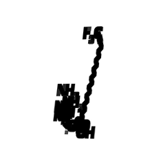 C[C@H](Cn1cnc2c(N)ncnc21)OCP(=O)(O)OCCCCCCCCCCCCCCCCCC#CC(F)(F)F.N